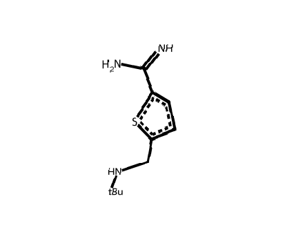 CC(C)(C)NCc1ccc(C(=N)N)s1